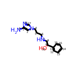 Nc1cn(CCCNCC(O)c2ccccc2)cn1